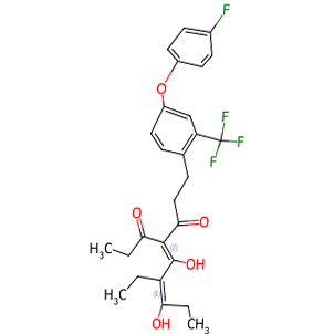 CCC(=O)/C(C(=O)CCc1ccc(Oc2ccc(F)cc2)cc1C(F)(F)F)=C(O)\C(CC)=C(\O)CC